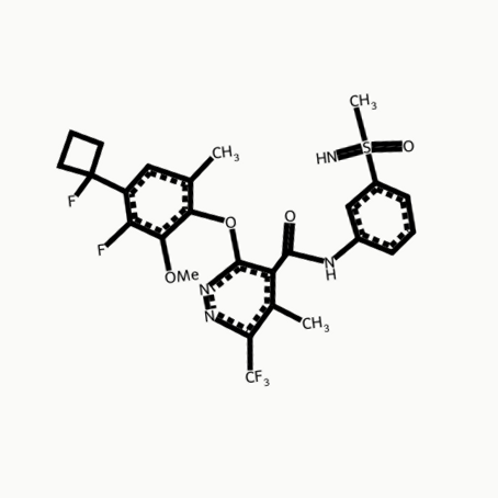 COc1c(F)c(C2(F)CCC2)cc(C)c1Oc1nnc(C(F)(F)F)c(C)c1C(=O)Nc1cccc(S(C)(=N)=O)c1